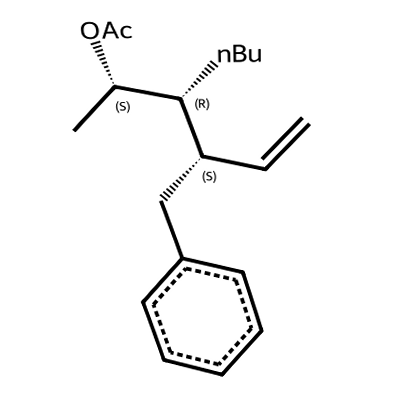 C=C[C@H](Cc1ccccc1)[C@@H](CCCC)[C@H](C)OC(C)=O